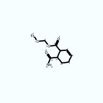 CCOCOC(=O)C1C=CCCC1C(N)=O